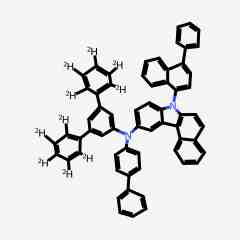 [2H]c1c([2H])c([2H])c(-c2cc(-c3c([2H])c([2H])c([2H])c([2H])c3[2H])cc(N(c3ccc(-c4ccccc4)cc3)c3ccc4c(c3)c3c5ccccc5ccc3n4-c3ccc(-c4ccccc4)c4ccccc34)c2)c([2H])c1[2H]